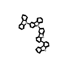 c1ccc2c(c1)sc1cccc(-c3cccc4c3sc3ccc(-n5c6ccccc6c6cc(-n7c8ccccc8c8ccccc87)ccc65)cc34)c12